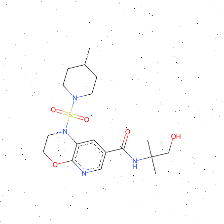 CC1CCN(S(=O)(=O)N2CCOc3ncc(C(=O)NC(C)(C)CO)cc32)CC1